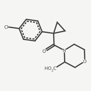 O=C(O)C1COCCN1C(=O)C1(c2ccc(Cl)cc2)CC1